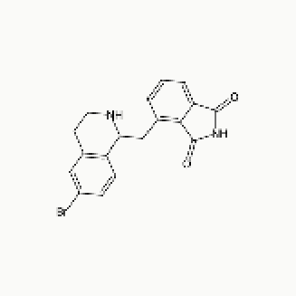 O=C1NC(=O)c2c(CC3NCCc4cc(Br)ccc43)cccc21